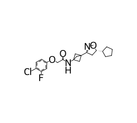 O=C(COc1ccc(Cl)c(F)c1)NC12CC(C3=NO[C@H](C4CCCC4)C3)(C1)C2